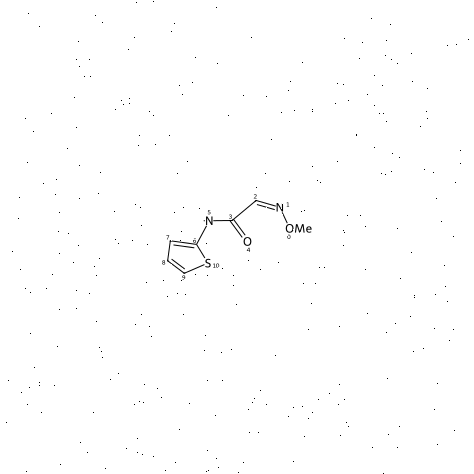 CO/N=C\C(=O)[N]c1cccs1